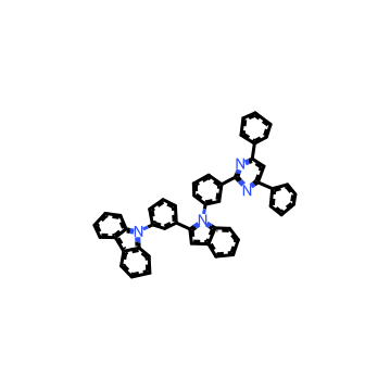 c1ccc(-c2cc(-c3ccccc3)nc(-c3cccc(-n4c(-c5cccc(-n6c7ccccc7c7ccccc76)c5)cc5ccccc54)c3)n2)cc1